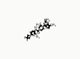 Cc1nc(N2CC(F)(F)C2)ccc1NC(=O)N1CCN(c2nc(N)nc3c(C)cnn23)[C@@H](C)C1